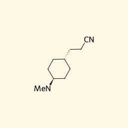 CN[C@H]1CC[C@H](CCC#N)CC1